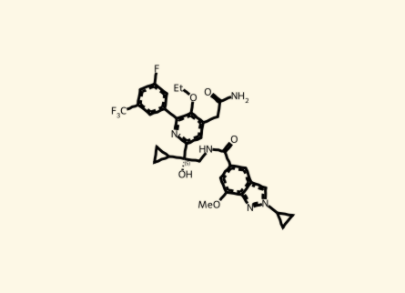 CCOc1c(CC(N)=O)cc([C@@](O)(CNC(=O)c2cc(OC)c3nn(C4CC4)cc3c2)C2CC2)nc1-c1cc(F)cc(C(F)(F)F)c1